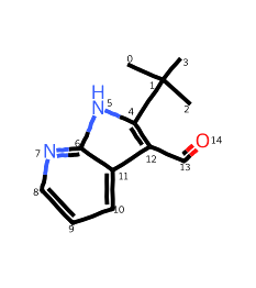 CC(C)(C)c1[nH]c2ncccc2c1C=O